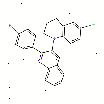 Fc1ccc(-c2nc3ccccc3cc2N2CCCc3cc(F)ccc32)cc1